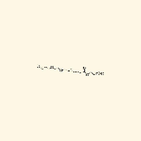 CCCCCCCCCCCCOC(=O)CCCOCCOCCOCCOCC